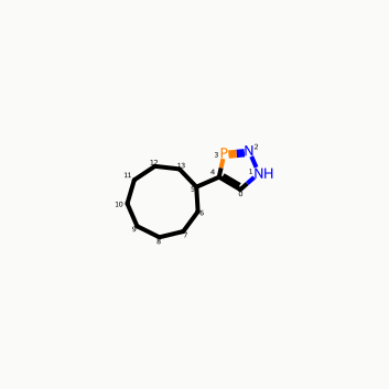 c1[nH]npc1C1CCCCCCCC1